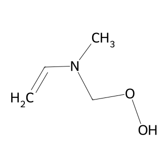 C=CN(C)COO